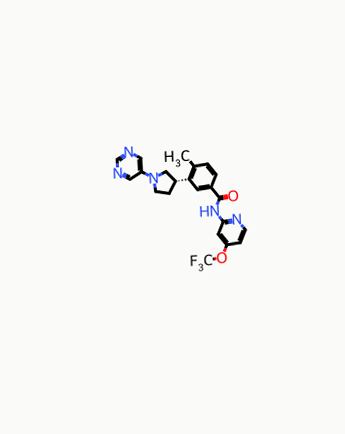 Cc1ccc(C(=O)Nc2cc(OC(F)(F)F)ccn2)cc1[C@@H]1CCN(c2cncnc2)C1